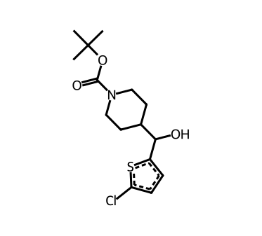 CC(C)(C)OC(=O)N1CCC(C(O)c2ccc(Cl)s2)CC1